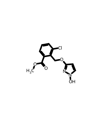 COC(=O)c1cccc(Cl)c1COc1ccn(O)n1